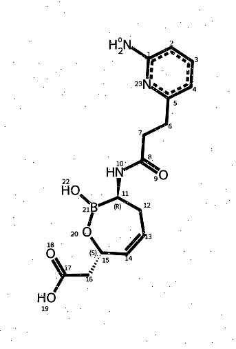 Nc1cccc(CCC(=O)N[C@H]2CC=C[C@H](CC(=O)O)OB2O)n1